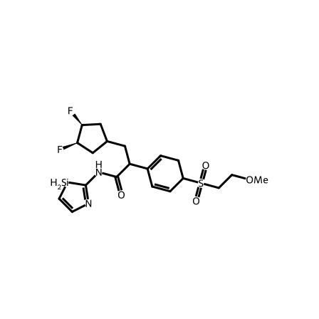 COCCS(=O)(=O)C1C=CC(C(CC2C[C@@H](F)[C@@H](F)C2)C(=O)NC2=NC=C[SiH2]2)=CC1